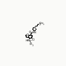 CNc1c(Cl)cc(C(=O)NC2CCN(CCCOC)CC2)c2c1CCO2